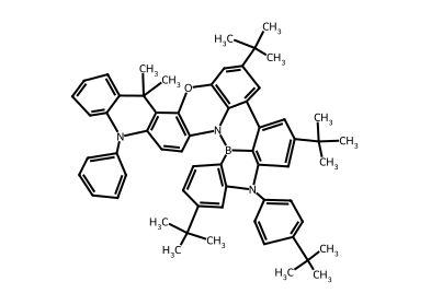 CC(C)(C)c1ccc(N2c3cc(C(C)(C)C)ccc3B3c4c(cc(C(C)(C)C)cc42)-c2cc(C(C)(C)C)cc4c2N3c2ccc3c(c2O4)C(C)(C)c2ccccc2N3c2ccccc2)cc1